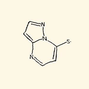 [S]c1ccnc2ccnn12